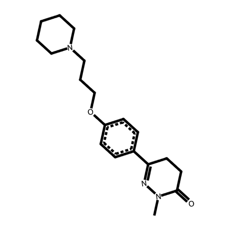 CN1N=C(c2ccc(OCCCN3CCCCC3)cc2)CCC1=O